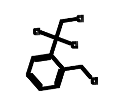 ClCc1ccccc1C(Cl)(Cl)CCl